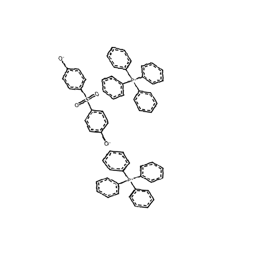 O=S(=O)(c1ccc([O-])cc1)c1ccc([O-])cc1.c1ccc([P+](c2ccccc2)(c2ccccc2)c2ccccc2)cc1.c1ccc([P+](c2ccccc2)(c2ccccc2)c2ccccc2)cc1